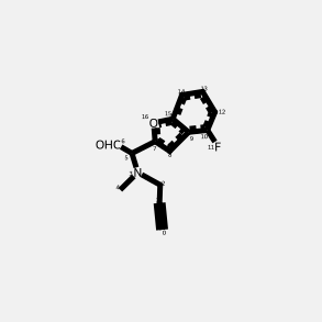 C#CCN(C)C(C=O)c1cc2c(F)cccc2o1